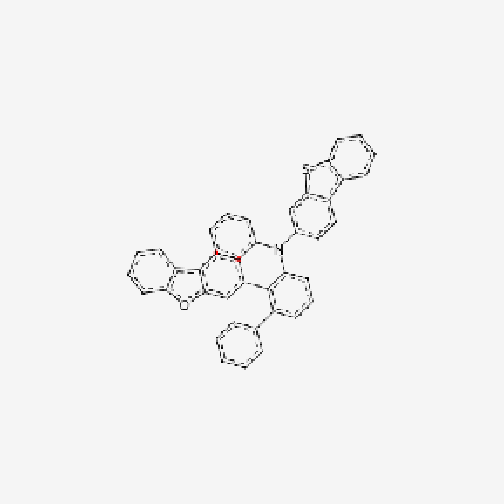 c1ccc(-c2cccc(N(c3ccccc3)c3ccc4c(c3)sc3ccccc34)c2-c2ccc3c(c2)oc2ccccc23)cc1